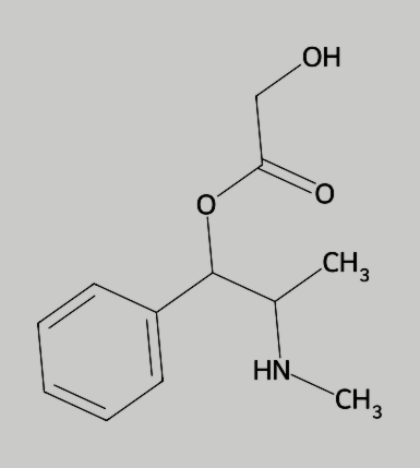 CNC(C)C(OC(=O)CO)c1ccccc1